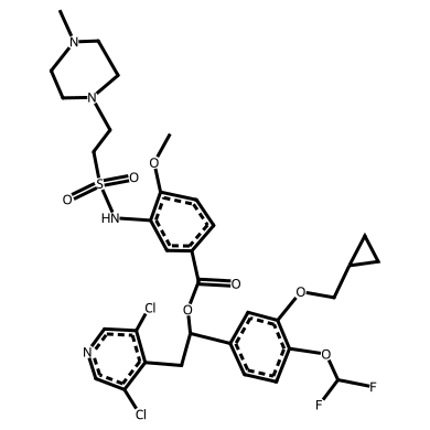 COc1ccc(C(=O)OC(Cc2c(Cl)cncc2Cl)c2ccc(OC(F)F)c(OCC3CC3)c2)cc1NS(=O)(=O)CCN1CCN(C)CC1